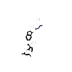 C/C(O)=C/C(=N)OC1CCc2ccc(NC(=O)c3ccn4c(C)cc(C)nc34)cc21